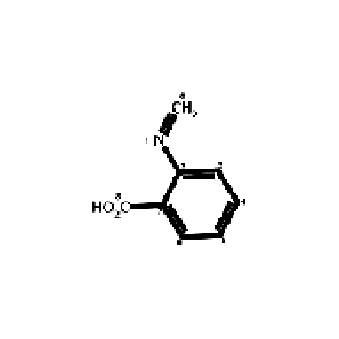 C=Nc1ccccc1C(=O)O